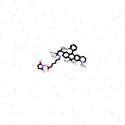 CC1=CC(C)(C)[N+](CCCCCC(=O)ON2C(=O)CCC2=O)=c2cc3c(cc21)=C(c1ccccc1C(=O)[O-])c1cc2c(cc1C3(C)C)N(C)CCC2